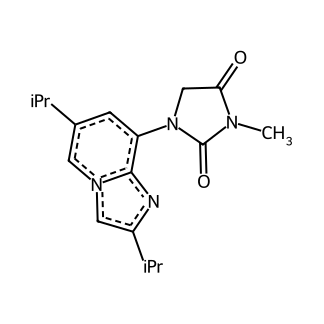 CC(C)c1cc(N2CC(=O)N(C)C2=O)c2nc(C(C)C)cn2c1